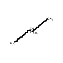 CCCCCCCCCCCCC(C)OC(C)CCCCCCCCCCCC